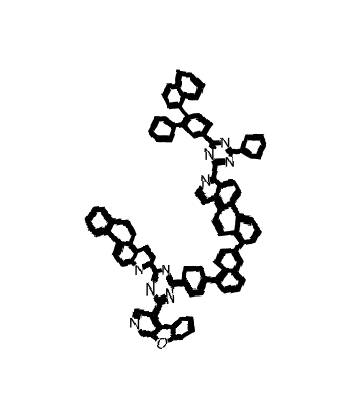 c1ccc(-c2nc(-c3ccc(-c4cccc5ccccc45)c(-c4ccccc4)c3)nc(-c3nccc4c3ccc3c5cccc(-c6ccc7c(-c8ccc(-c9nc(-c%10ccc%11c(ccc%12c%13ccccc%13ccc%11%12)n%10)nc(-c%10cncc%11oc%12ccccc%12c%10%11)n9)cc8)cccc7c6)c5ccc43)n2)cc1